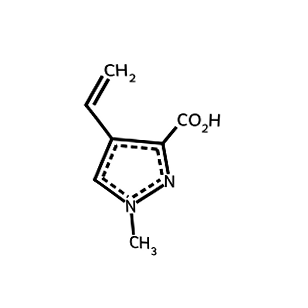 C=Cc1cn(C)nc1C(=O)O